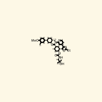 CCc1nc(-c2ccnc(N(C[C@H]3CC[C@H](c4ccc(OC)c(C)c4)CC3)C(=O)[C@H]3CC[C@H](OC(=O)NCC(C)(C)O)CC3)c2)co1